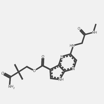 CNC(=O)CNc1cnc2[nH]cc(C(=O)OCC(C)(C)C(N)=O)c2n1